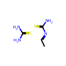 CC=NC(N)=S.NC(N)=S